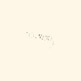 CCOCOC(CC1CC2CC1C(CC(C)(C(=O)OC(C1CCC(C(O)(C(F)(F)F)C(F)(F)F)CC1)(C(F)(F)F)C(F)(F)F)C(F)(F)F)C2C)(C(F)(F)F)C(F)(F)F